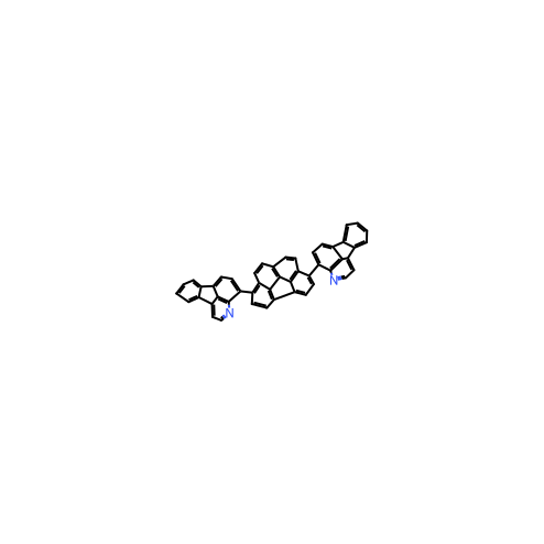 c1ccc2c(c1)-c1ccnc3c(-c4ccc5c6c4ccc4ccc7c(-c8ccc9c%10c(ccnc8%10)-c8ccccc8-9)ccc-5c7c46)ccc-2c13